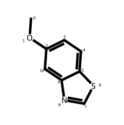 COc1ccc2scnc2c1